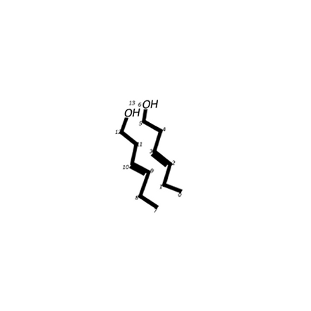 CCC=CCCO.CCC=CCCO